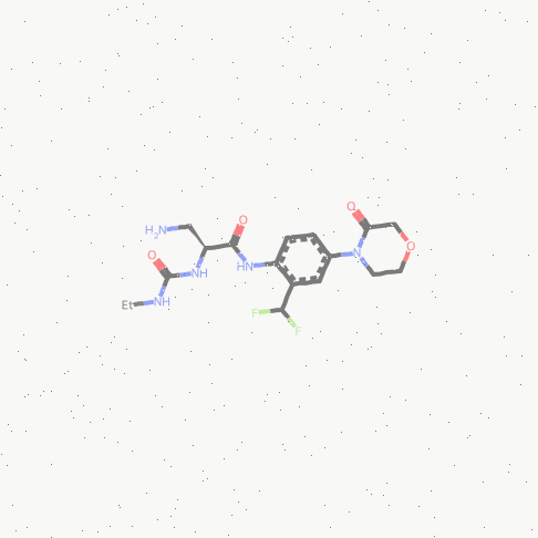 CCNC(=O)N[C@@H](CN)C(=O)Nc1ccc(N2CCOCC2=O)cc1C(F)F